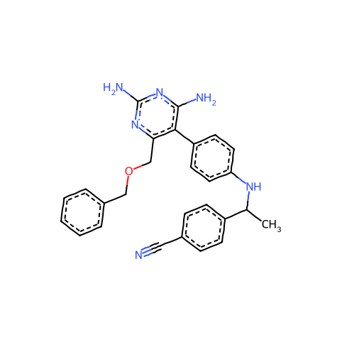 CC(Nc1ccc(-c2c(N)nc(N)nc2COCc2ccccc2)cc1)c1ccc(C#N)cc1